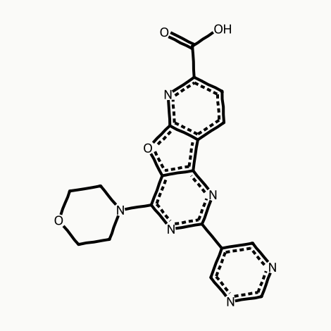 O=C(O)c1ccc2c(n1)oc1c(N3CCOCC3)nc(-c3cncnc3)nc12